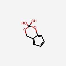 OC1(O)OCc2ccccc2O1